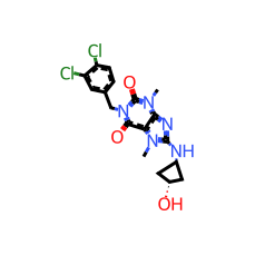 Cn1c(N[C@H]2C[C@@H](O)C2)nc2c1c(=O)n(Cc1ccc(Cl)c(Cl)c1)c(=O)n2C